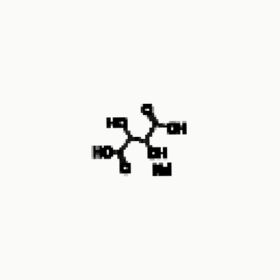 O=C(O)C(O)C(O)C(=O)O.[Nd]